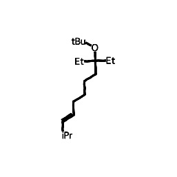 CCC(CC)(CCCC/C=C/C(C)C)OC(C)(C)C